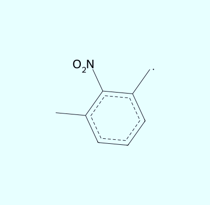 [CH2]c1cccc(C)c1[N+](=O)[O-]